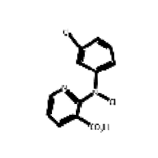 O=C(O)c1cccnc1N(Cl)c1cccc(Cl)c1